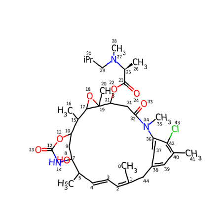 C/C1=C\C=C\C(C)C2(O)CC(OC(=O)N2)C(C)C2OC2(C)C(OC(=O)[C@H](C)N(C)CC(C)C)CC(=O)N(C)c2cc(cc(C)c2Cl)C1